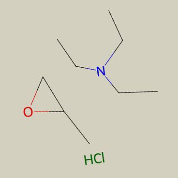 CC1CO1.CCN(CC)CC.Cl